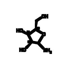 NC1O[C@H](CO)[C@H](O)[C@@H]1O